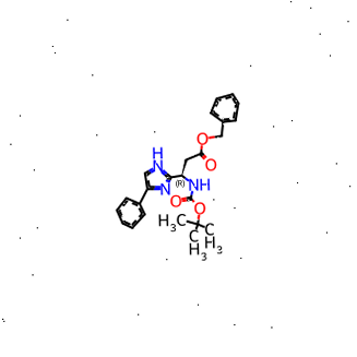 CC(C)(C)OC(=O)N[C@H](CC(=O)OCc1ccccc1)c1nc(-c2ccccc2)c[nH]1